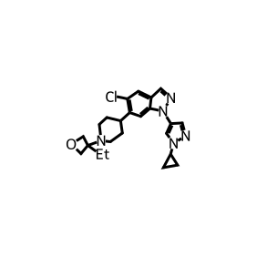 CCC1(N2CCC(c3cc4c(cnn4-c4cnn(C5CC5)c4)cc3Cl)CC2)COC1